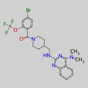 CN(C)c1nc(NCC2CCN(C(=O)c3ccc(Br)cc3OC(F)(F)F)CC2)nc2ccccc12